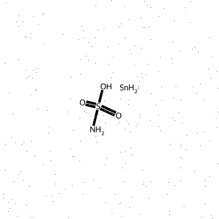 NS(=O)(=O)O.[SnH2]